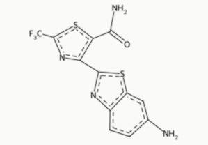 NC(=O)c1sc(C(F)(F)F)nc1-c1nc2ccc(N)cc2s1